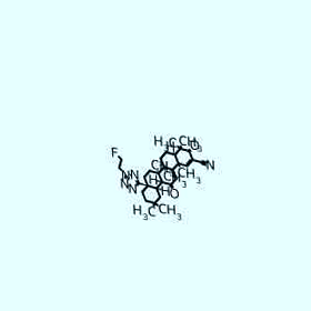 CC1(C)CC[C@]2(c3nnn(CCF)n3)CC[C@]3(C)[C@H](C(=O)C=C4[C@@]5(C)C=C(C#N)C(=O)C(C)(C)[C@@H]5CC[C@]43C)[C@@H]2C1